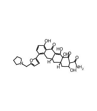 NC(=O)C1C(=O)[C@@]2(O)C(O)=C3C(=O)c4c(O)ccc(-c5ccc(CN6CCCC6)o5)c4C[C@H]3C[C@H]2CC1O